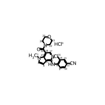 Cl.Cn1ccc2c(Nc3ccc(C#N)cc3Cl)ncc(C(=O)N3CCOCC3)c21